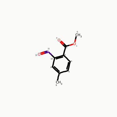 COC(=O)c1ccc(C)cc1I=O